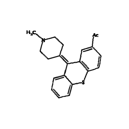 CC(=O)c1ccc2c(c1)C(=C1CCN(C)CC1)c1ccccc1S2